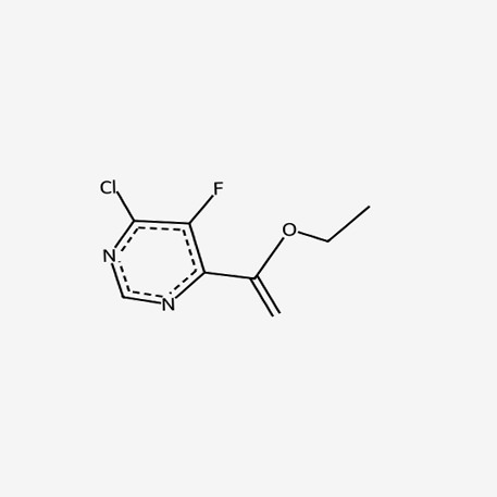 C=C(OCC)c1ncnc(Cl)c1F